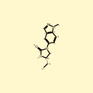 Cn1ncc2cc(N3C[C@H](CI)OC3=O)ccc21